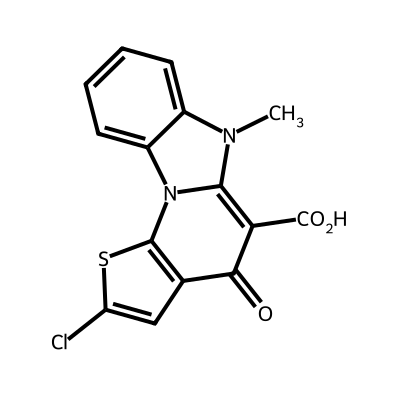 Cn1c2ccccc2n2c3sc(Cl)cc3c(=O)c(C(=O)O)c12